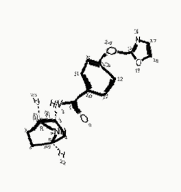 O=C(N[C@@H]1C[C@H]2CC[C@@H]1N2)c1ccc(Oc2ncco2)cc1